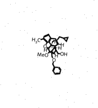 COC12CCC3([C@@H](CO)[C@@H]1COCc1ccccc1)[C@H]1Cc4ccc(C)c5c4[C@@]3(CCN1CC1CC1)[C@H]2O5